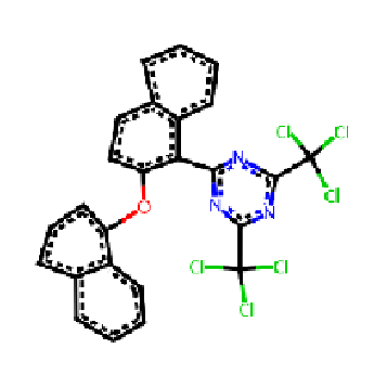 ClC(Cl)(Cl)c1nc(-c2c(Oc3cccc4ccccc34)ccc3ccccc23)nc(C(Cl)(Cl)Cl)n1